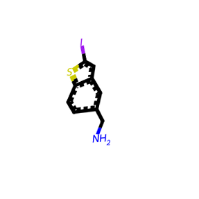 NCc1ccc2sc(I)cc2c1